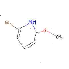 COC1C=CC=C(Br)N1